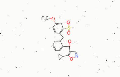 CS(=O)(=O)c1cc(OC(F)(F)F)ccc1Cc1ccccc1C(=O)c1cnoc1C1CC1